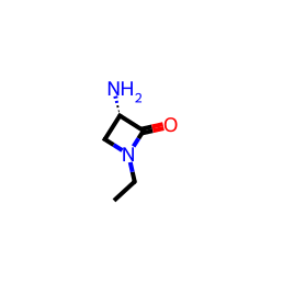 CCN1C[C@H](N)C1=O